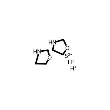 C1COCN1.C1COCN1.[H+].[H+].[S-2]